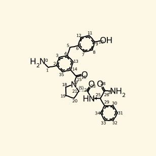 NCc1cc(Cc2ccc(O)cc2)cc(C(=O)N2CCC[C@H]2C(=O)NC(C(N)=O)c2ccccc2)c1